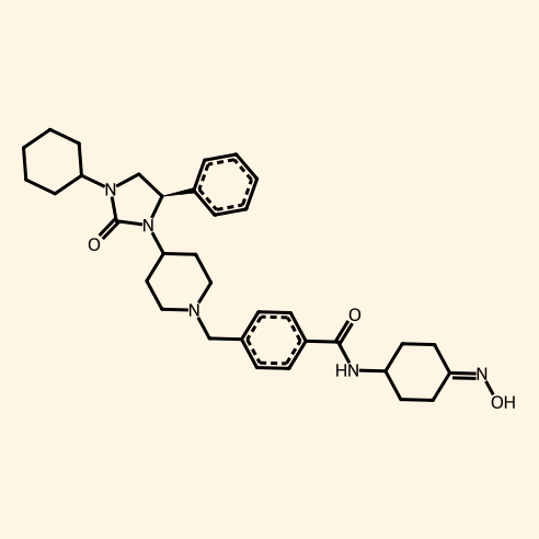 O=C(NC1CCC(=NO)CC1)c1ccc(CN2CCC(N3C(=O)N(C4CCCCC4)C[C@H]3c3ccccc3)CC2)cc1